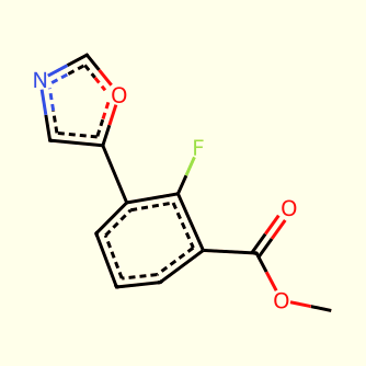 COC(=O)c1cccc(-c2cnco2)c1F